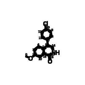 COc1ccc2c(-c3ccc(Cl)cc3)c[nH]c(=O)c2c1